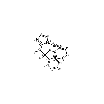 CCCCn1ccnc1C(C)C(C)(Cc1ccccc1)c1ccccc1